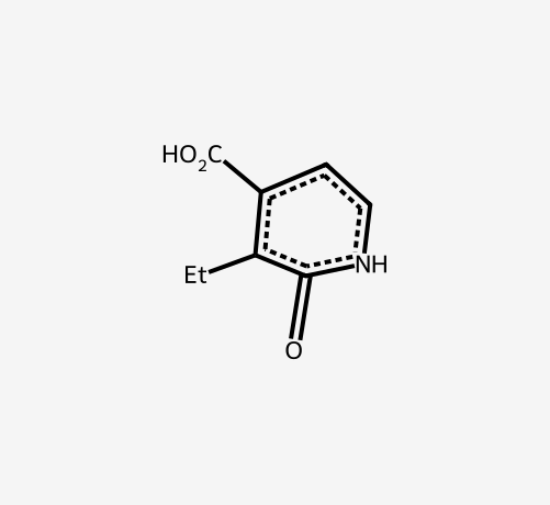 CCc1c(C(=O)O)cc[nH]c1=O